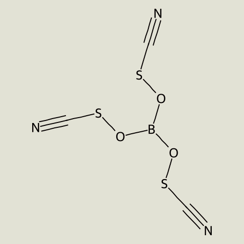 N#CSOB(OSC#N)OSC#N